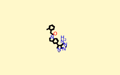 Cc1ccccc1CC(=O)N1CCc2cc(-c3cn(C)c4ncnc(N)c34)ccc21